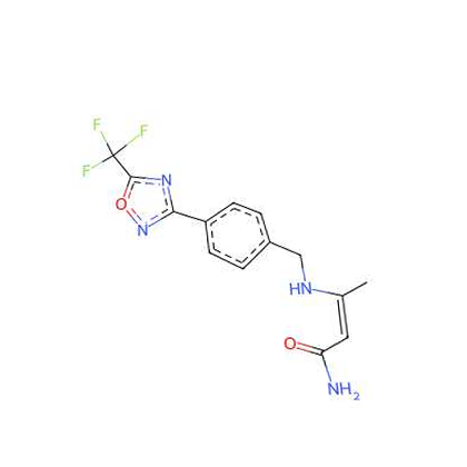 C/C(=C/C(N)=O)NCc1ccc(-c2noc(C(F)(F)F)n2)cc1